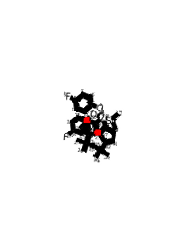 C[Si](C)=[Zr]([O]c1ccc(F)cc1)([O]c1ccc(F)cc1)([C]1=CC(C(C)(C)C)=CC1)[C]1=CC=C(C(C)(C)C)C1